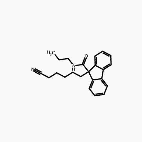 CCCNC(=O)C1(CCCCCC#N)c2ccccc2-c2ccccc21